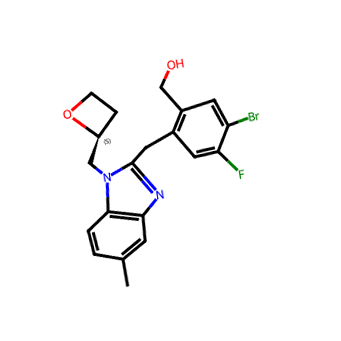 Cc1ccc2c(c1)nc(Cc1cc(F)c(Br)cc1CO)n2C[C@@H]1CCO1